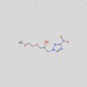 COCCOCC(O)Cn1cnc([N+](=O)[O-])n1